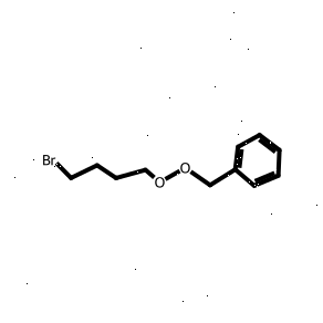 BrCCCCOOCc1ccccc1